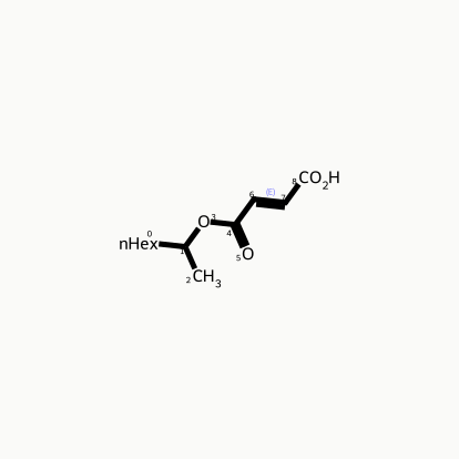 CCCCCCC(C)OC(=O)/C=C/C(=O)O